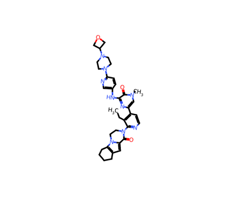 CCc1c(-c2cn(C)c(=O)c(Nc3ccc(N4CCN(C5COC5)CC4)nc3)n2)ccnc1N1CCn2c(cc3c2CCCC3)C1=O